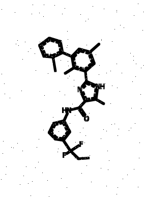 CCC(F)(F)c1cccc(NC(=O)c2nc(-c3cc(C)cc(-c4ccccc4C)c3C)[nH]c2C)c1